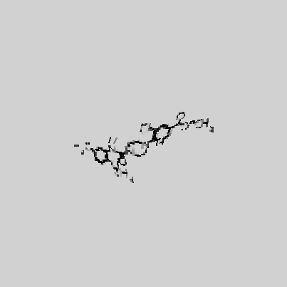 CCOC(=O)c1cnc(N2CCN(C(=O)Nc3cc(C)ccc3OC)CC2)c(Cl)c1